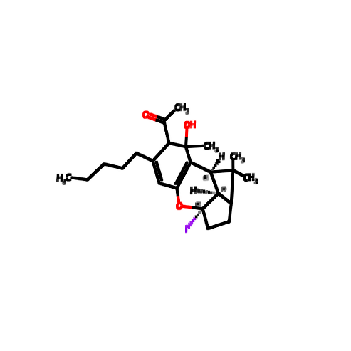 CCCCCC1=CC2=C([C@@H]3[C@H]4C(CC[C@@]4(I)O2)C3(C)C)C(C)(O)C1C(C)=O